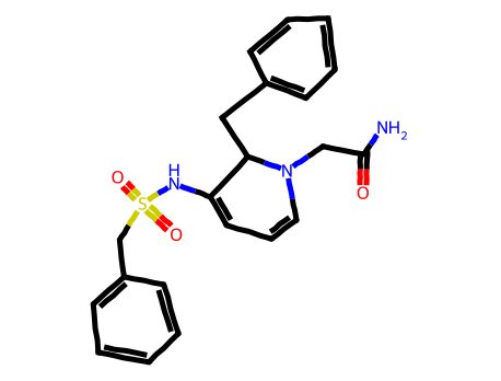 NC(=O)CN1C=CC=C(NS(=O)(=O)Cc2ccccc2)C1Cc1ccccc1